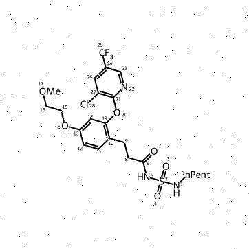 CCCCCNS(=O)(=O)NC(=O)CCc1ccc(OCCOC)cc1Oc1ncc(C(F)(F)F)cc1Cl